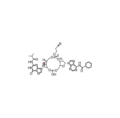 CC(C)C(=O)Nc1nc2c(ncn2[C@@H]2O[C@@H]3COP(=S)(OCCC#N)O[C@H]4C[C@H](n5cnc6c(NC(=O)c7ccccc7)ncnc65)OC4COP(O)OC2[C@@H]3F)c(=O)[nH]1